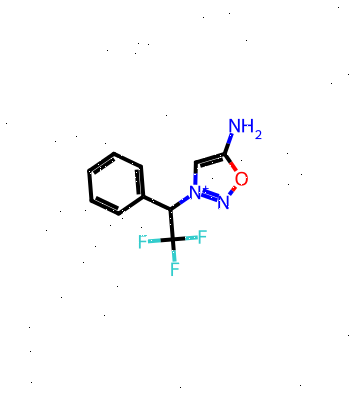 Nc1c[n+](C(c2ccccc2)C(F)(F)F)no1